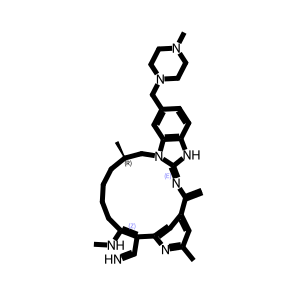 C=C1/N=C2\Nc3ccc(CN4CCN(C)CC4)cc3N2C[C@H](C)CCCC/C(NC)=C(/C=N)c2cc1cc(C)n2